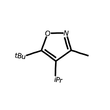 Cc1noc(C(C)(C)C)c1C(C)C